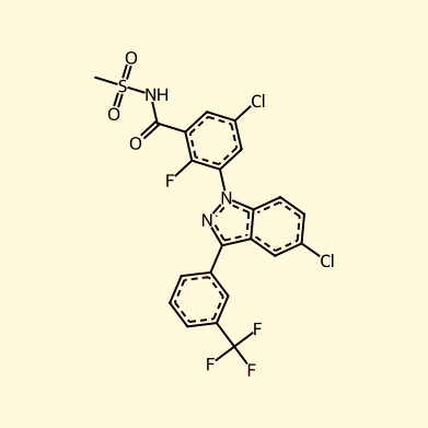 CS(=O)(=O)NC(=O)c1cc(Cl)cc(-n2nc(-c3cccc(C(F)(F)F)c3)c3cc(Cl)ccc32)c1F